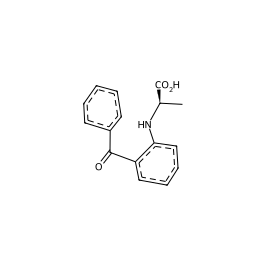 C[C@@H](Nc1ccccc1C(=O)c1ccccc1)C(=O)O